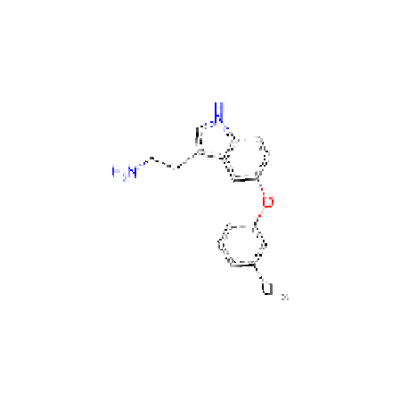 Cc1cccc(Oc2ccc3[nH]cc(CCN)c3c2)c1